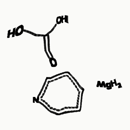 O=C(O)O.[MgH2].c1ccncc1